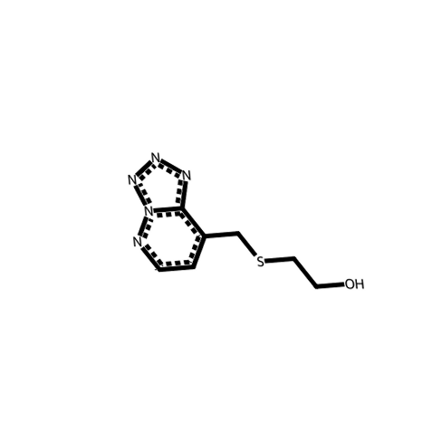 OCCSCc1c[c]nn2nnnc12